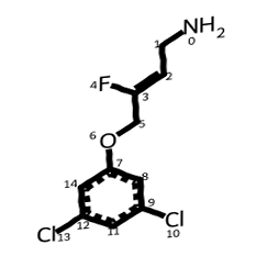 NC/C=C(\F)COc1cc(Cl)cc(Cl)c1